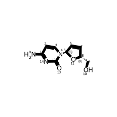 Nc1ccn([C@@H]2C=C[C@H](CO)O2)c(=O)n1